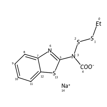 CCSSN(C(=O)[O-])c1nc2ccccc2s1.[Na+]